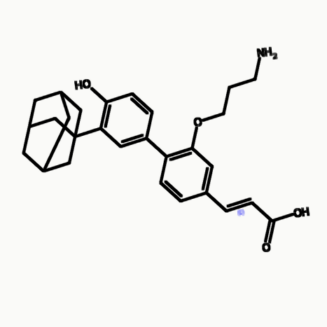 NCCCOc1cc(/C=C/C(=O)O)ccc1-c1ccc(O)c(C23CC4CC(CC(C4)C2)C3)c1